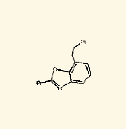 CC(C)c1nc2cccc(CO)c2o1